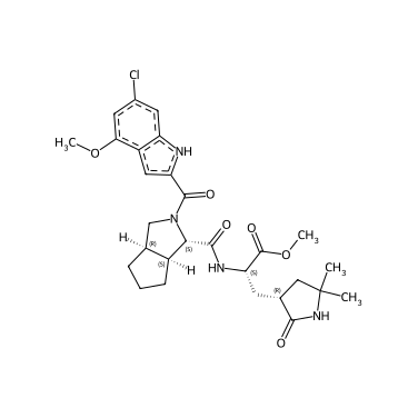 COC(=O)[C@H](C[C@@H]1CC(C)(C)NC1=O)NC(=O)[C@@H]1[C@H]2CCC[C@H]2CN1C(=O)c1cc2c(OC)cc(Cl)cc2[nH]1